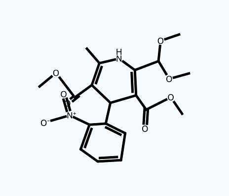 COC(=O)C1=C(C)NC(C(OC)OC)=C(C(=O)OC)C1c1ccccc1[N+](=O)[O-]